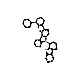 c1ccc(-c2cccc3c2oc2c3ccc3c2c2ccccc2n3-c2cccc3c2oc2ccccc23)cc1